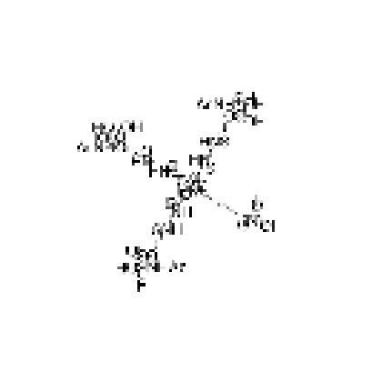 CC(=O)NC1C(OCCCCC(=O)NCCCNC(=O)CCOCC(COCCC(=O)NCCCNC(=O)CCCCOC2OC(CO)C(O)C(O)C2NC(C)=O)(COCCC(=O)NCCCNC(=O)CCCCOC2OC(CO)C(O)C(O)C2NC(C)=O)NC(=O)CCCCCCCCCCC(=O)N2C[C@H](O)C[C@H]2COI)OC(CO)C(O)C1O